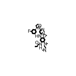 C=CC(=O)Nc1cc(Nc2cc(N3OCC[C@@H]3c3cccc(F)c3)ncn2)c(OC)cc1N(C)CCN(C)C